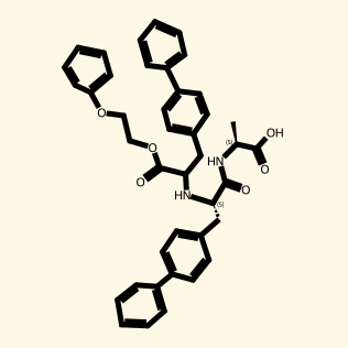 C[C@H](NC(=O)[C@H](Cc1ccc(-c2ccccc2)cc1)NC(Cc1ccc(-c2ccccc2)cc1)C(=O)OCCOc1ccccc1)C(=O)O